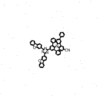 N#Cc1ccc2c(c1)c1cc(-c3ccccc3)ccc1n2-c1c(-c2ccccc2)cc(-c2nc(-c3ccc4c(c3)oc3ccccc34)nc(-c3ccc4c(c3)oc3ccccc34)n2)cc1-c1ccccc1